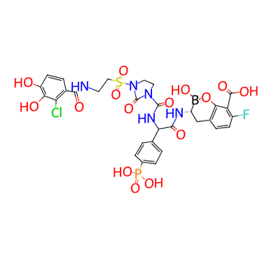 O=C(NCCS(=O)(=O)N1CCN(C(=O)NC(C(=O)N[C@H]2Cc3ccc(F)c(C(=O)O)c3OB2O)c2ccc(P(=O)(O)O)cc2)C1=O)c1ccc(O)c(O)c1Cl